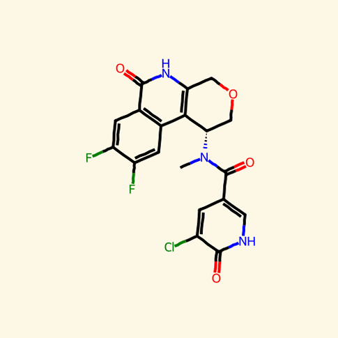 CN(C(=O)c1c[nH]c(=O)c(Cl)c1)[C@H]1COCc2[nH]c(=O)c3cc(F)c(F)cc3c21